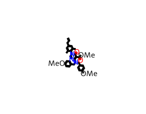 C=CCc1cc(C)c(-n2cnc(N(Cc3ccc(OC)cc3)Cc3ccc(OC)cc3)c(C(=O)OC)c2=O)c(C)c1